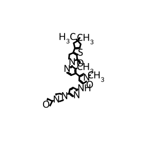 Cc1c(-c2cc(Nc3ccc(N4CCN(C5COC5)CC4)cn3)c(=O)n(C)c2)ccnc1N1CCc2c(sc3c2CC(C)(C)C3)C1=O